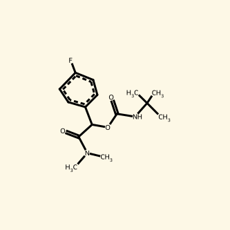 CN(C)C(=O)C(OC(=O)NC(C)(C)C)c1ccc(F)cc1